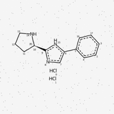 Cl.Cl.c1ccc(-c2cnc([C@H]3CCCN3)[nH]2)cc1